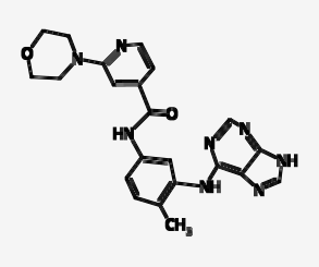 Cc1ccc(NC(=O)c2ccnc(N3CCOCC3)c2)cc1Nc1ncnc2[nH]cnc12